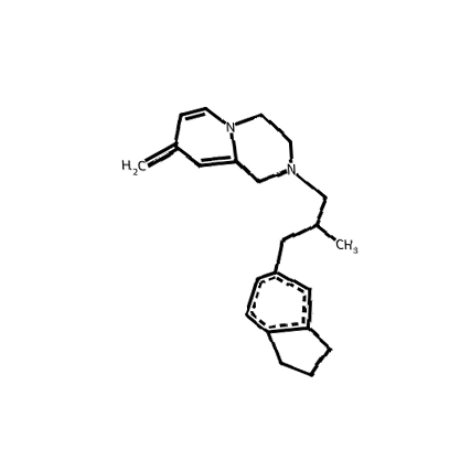 C=C1C=CN2CCN(CC(C)Cc3ccc4c(c3)CCC4)CC2=C1